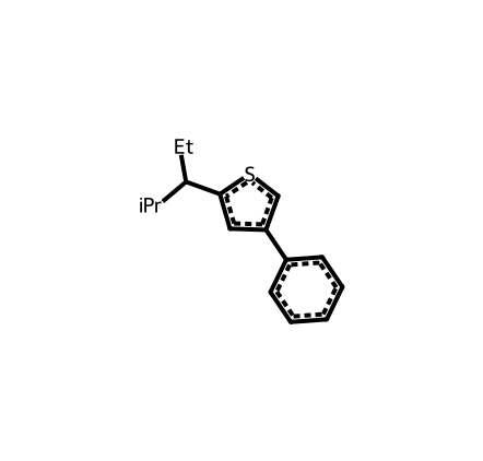 CCC(c1cc(-c2ccccc2)cs1)C(C)C